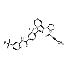 CC#CC(=O)N1CCCC1C1=C2C=NC=C[N+]2(C)C(c2ccc(C(=O)Nc3cc(C(F)(F)F)ccn3)cc2)=N1